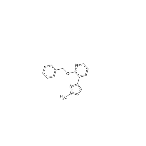 Cn1ccc(-c2cccnc2OCc2ccccc2)n1